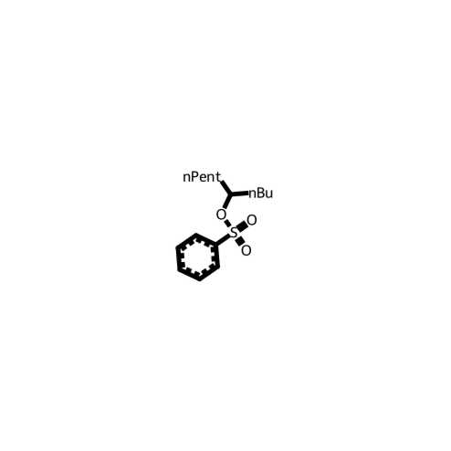 CCCCCC(CCCC)OS(=O)(=O)c1ccccc1